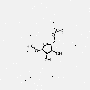 COC[C@H]1O[C@H](OC)[C@H](O)[C@@H]1O